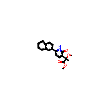 COC(=O)C(C)(OC)c1ccc(-c2ccc3ccccc3c2)[nH]c1=O